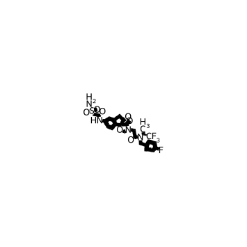 C[C@H](N(Cc1ccc(F)cc1)C(=O)CN1CO[C@]2(C(=O)Cc3cc(NC(=O)CS(N)(=O)=O)ccc32)C1=O)C(F)(F)F